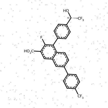 O=C(O)c1cc2cc(-c3ccc(C(F)(F)F)cc3)ccc2c(-c2ccc([C@H](O)C(F)(F)F)cc2)c1F